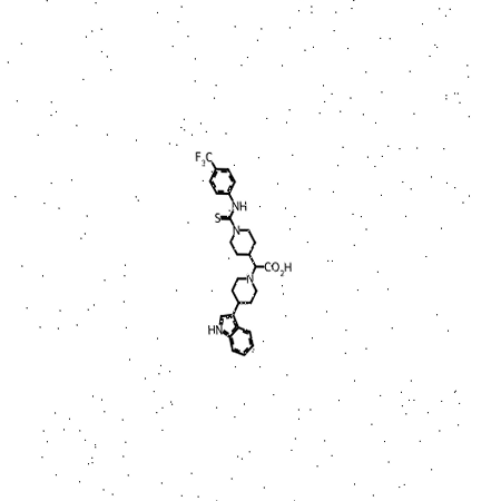 O=C(O)C(C1CCN(C(=S)Nc2ccc(C(F)(F)F)cc2)CC1)N1CCC(c2c[nH]c3ccccc23)CC1